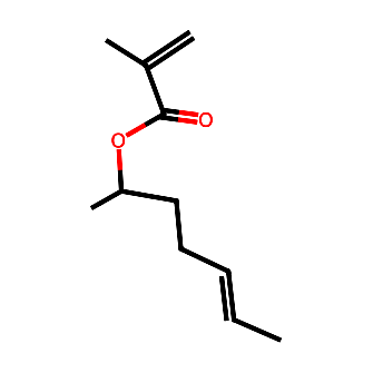 C=C(C)C(=O)OC(C)CCC=CC